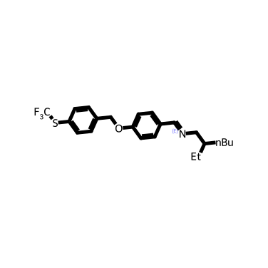 CCCCC(CC)C/N=C/c1ccc(OCc2ccc(SC(F)(F)F)cc2)cc1